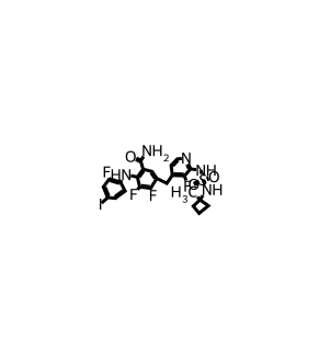 CC1(NS(=O)(=O)Nc2nccc(Cc3cc(C(N)=O)c(Nc4ccc(I)cc4F)c(F)c3F)c2F)CCC1